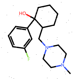 CN1CCN(CC2CCCCC2(O)c2cccc(F)c2)CC1